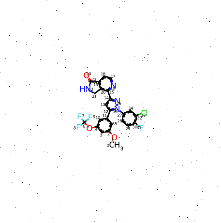 COc1cc(OC(F)(F)F)cc(-c2cc(-c3nccc4c3CNC4=O)nn2-c2ccc(F)c(Cl)c2)c1